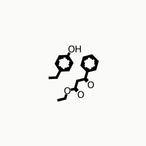 CCOC(=O)CC(=O)c1ccccc1.CCc1ccc(O)cc1